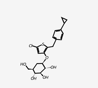 OC[C@H]1C[C@@H](Oc2cc(Cl)sc2Cc2ccc(C3CC3)cc2)[C@H](O)[C@@H](O)[C@@H]1O